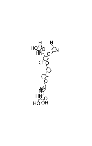 Cc1c(COc2cc(OCc3cncc(C#N)c3)c(CN[C@@H](CO)C(=O)O)cc2Cl)cccc1-c1cccc(OCCn2cc(CNC(CO)C(=O)O)nn2)c1C